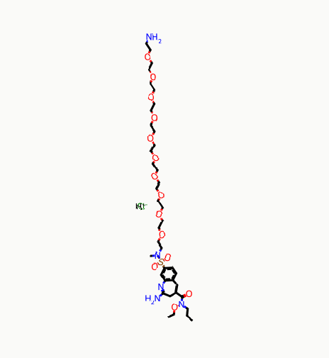 CCCN(OCC)C(=O)C1=Cc2ccc(S(=O)(=O)N(C)CCOCCOCCOCCOCCOCCOCCOCCOCCOCCOCCN)cc2N=C(N)C1.[Cl-].[H+]